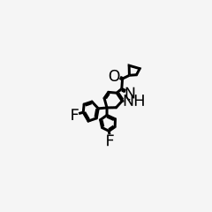 O=C(c1n[nH]c2c1C=CC(c1ccc(F)cc1)(c1ccc(F)cc1)C2)C1CCC1